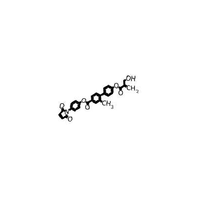 C=C(CO)C(=O)Oc1ccc(-c2ccc(C(=O)Oc3ccc(N4C(=O)C=CC4=O)cc3)cc2C)cc1